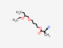 C=C(C#N)C(=O)OCCCCOCC(CC)OCC